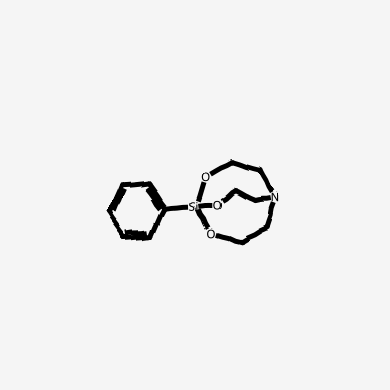 c1ccc([Si]23OCCN(CCO2)CCO3)cc1